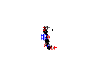 COc1ccc(CNC(=O)Nc2ccc(CC(=O)N3CC[C@H]3CO)cc2)cc1